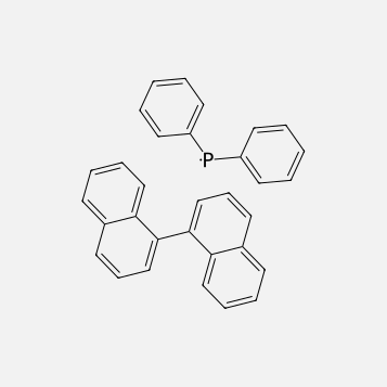 c1ccc([P]c2ccccc2)cc1.c1ccc2c(-c3cccc4ccccc34)cccc2c1